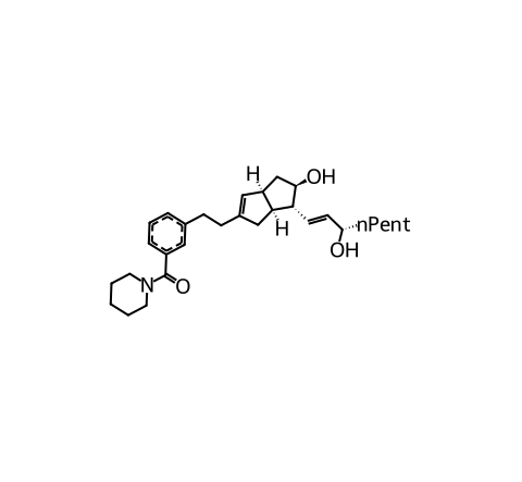 CCCCC[C@H](O)/C=C/[C@@H]1[C@H]2CC(CCc3cccc(C(=O)N4CCCCC4)c3)=C[C@H]2C[C@H]1O